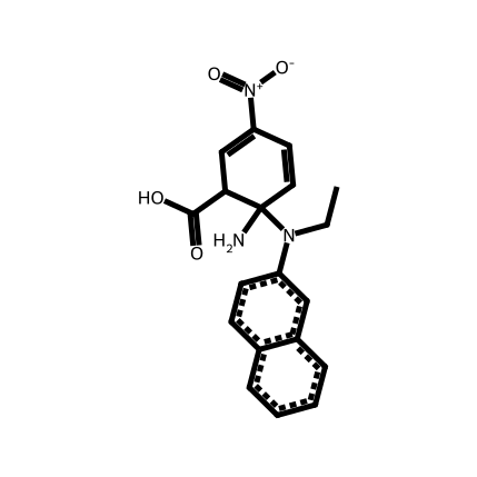 CCN(c1ccc2ccccc2c1)C1(N)C=CC([N+](=O)[O-])=CC1C(=O)O